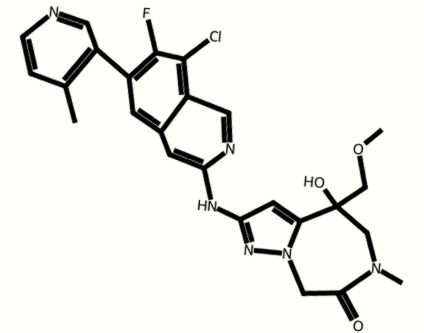 COCC1(O)CN(C)C(=O)Cn2nc(Nc3cc4cc(-c5cnccc5C)c(F)c(Cl)c4cn3)cc21